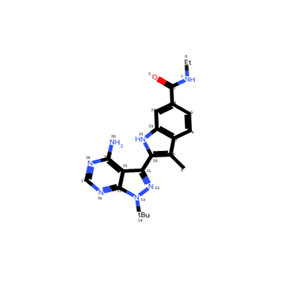 CCNC(=O)c1ccc2c(C)c(-c3nn(C(C)(C)C)c4ncnc(N)c34)[nH]c2c1